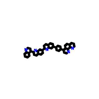 c1cnc2c(c1)ccc1c(-c3ccc(-c4ccc5ccc(-c6ccc7ccc(-c8ccnc9ccccc89)nc7c6)nc5c4)cc3)ccnc12